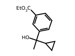 CCOC(=O)c1cccc(C(C)(O)C2CC2)c1